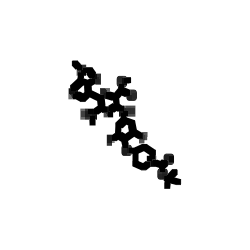 CNc1nc(Nc2cc(F)c(OC3CCN(C(=O)OC(C)(C)C)CC3)c(F)c2)c(C(=O)OC)nc1-c1cncc2c1ncn2C